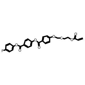 C=CC(=O)OCCCCOc1ccc(C(=O)Oc2ccc(C(=O)Oc3ccc(F)cc3)cc2)cc1